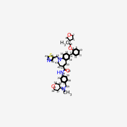 C1CCOC1.CCOc1ccccc1-c1ccc2c(c1)C=C(C(=O)Nc1ccc(CN(C)C3CCOCC3)cc1)CCN2Cc1cncs1